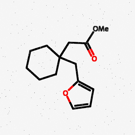 COC(=O)CC1(Cc2ccco2)CCCCC1